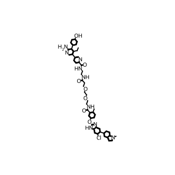 CCc1c(-c2ccc(C(=O)NCCNC(=O)CCOCCOCCNC(=O)c3cc(Oc4nc5cc(-c6ccc7c(ccn7C)c6)c(Cl)cc5[nH]4)ccc3C)nc2)cnc(N)c1-c1ccc(O)cc1